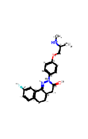 CNC(C)COc1ccc(N2N=C3c4cc(F)ccc4CCC3CC2=O)cc1